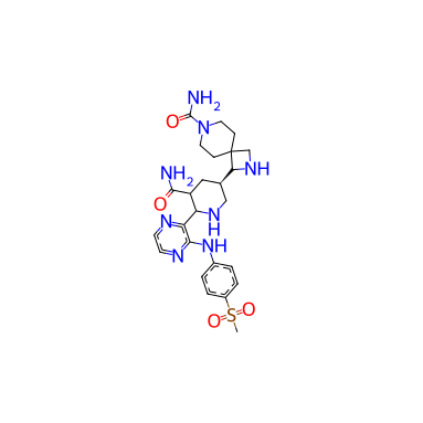 CS(=O)(=O)c1ccc(Nc2nccnc2C2NC[C@H](C3NCC34CCN(C(N)=O)CC4)CC2C(N)=O)cc1